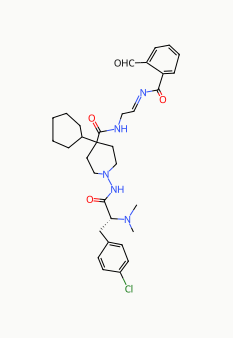 CN(C)[C@H](Cc1ccc(Cl)cc1)C(=O)NN1CCC(C(=O)NCC=NC(=O)c2ccccc2C=O)(C2CCCCC2)CC1